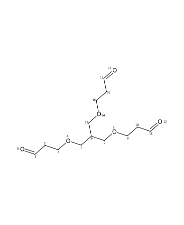 O=CCCOCC(COCCC=O)COCCC=O